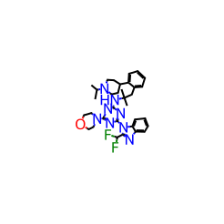 CC(C)N1CCC(c2ccccc2CC(C)(C)Nc2nc(N3CCOCC3)nc(-n3c(C(F)F)nc4ccccc43)n2)CC1